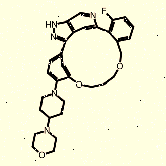 Fc1cccc2c1-c1cc3c(n[nH]c3cn1)-c1ccc(N3CCC(N4CCOCC4)CC3)c(c1)OCCCOC2